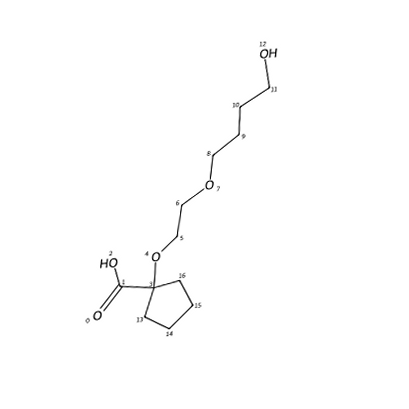 O=C(O)C1(OCCOCCCCO)CCCC1